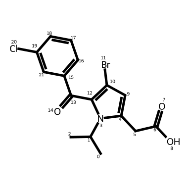 CC(C)n1c(CC(=O)O)cc(Br)c1C(=O)c1cccc(Cl)c1